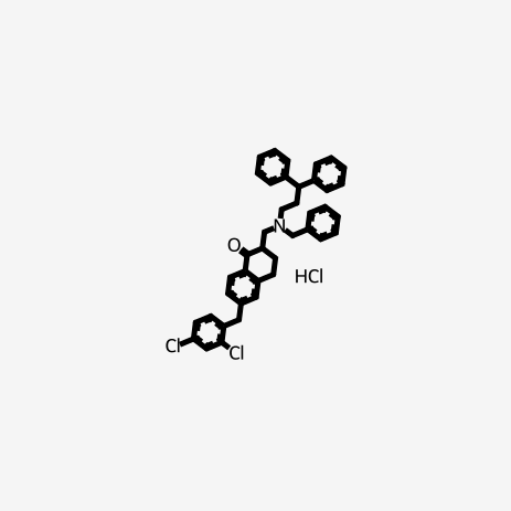 Cl.O=C1c2ccc(Cc3ccc(Cl)cc3Cl)cc2CCC1CN(CCC(c1ccccc1)c1ccccc1)Cc1ccccc1